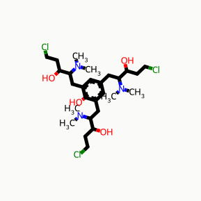 CN(C)C(Cc1cc(CC(C(O)CCCl)N(C)C)c(O)c(CC(C(O)CCCl)N(C)C)c1)C(O)CCCl